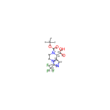 CC(C)(C)OC(=O)N1CCn2c(cnc2C(F)(F)F)C1C(=O)O